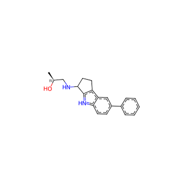 C[C@H](O)CNC1CCc2c1[nH]c1ccc(-c3ccccc3)cc21